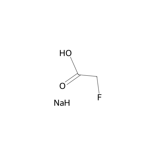 O=C(O)CF.[NaH]